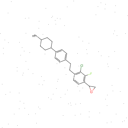 CCCC1CCC(c2ccc(CCc3ccc(C4CO4)c(F)c3Cl)cc2)CC1